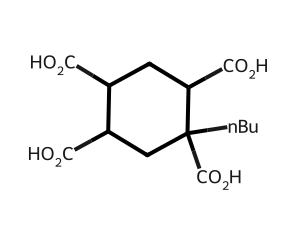 CCCCC1(C(=O)O)CC(C(=O)O)C(C(=O)O)CC1C(=O)O